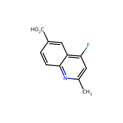 Cc1cc(F)c2cc(C(=O)O)ccc2n1